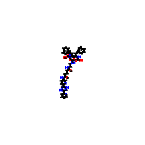 O=C(O)NC(CC1C2CC/C=C/CCC21)C(OC(=O)NCCNC(=O)CCCC(=O)Nc1ccc(C2=NNC(c3ccccn3)=NN2)nc1)C(CC1C2CC/C=C/CCC21)NC(=O)O